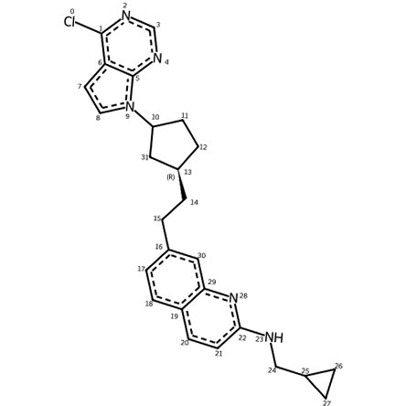 Clc1ncnc2c1ccn2C1CC[C@@H](CCc2ccc3ccc(NCC4CC4)nc3c2)C1